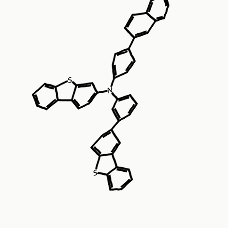 c1cc(-c2ccc3sc4ccccc4c3c2)cc(N(c2ccc(-c3ccc4ccccc4c3)cc2)c2ccc3c(c2)sc2ccccc23)c1